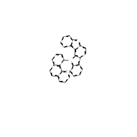 c1cnc2c(c1)ccc1cccc(-n3c4ccccc4c4ccc5sc6ccccc6c5c43)c12